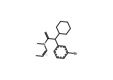 C=C(C(c1cccc(Br)c1)C1CCCCC1)N(C)/C=C\C